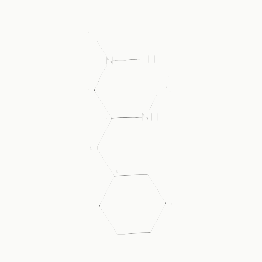 CN(C)CC(CC1CCCCC1)NC(=O)O